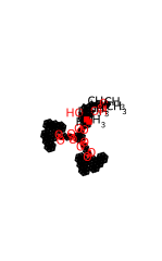 C[C@H](CCC(=O)OC(C)(C)C)[C@H]1CC[C@H]2[C@@H]3[C@H](O)C[C@@H]4C[C@H](OC(=O)c5cc(OC(=O)CCC(=O)OC(Cc6c7ccccc7cc7ccccc67)Cc6c7ccccc7cc7ccccc67)cc(OC(=O)CCC(=O)OC(Cc6c7ccccc7cc7ccccc67)Cc6c7ccccc7cc7ccccc67)c5)CC[C@]4(C)[C@H]3C[C@H](O)[C@]12C